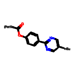 CCCCc1cnc(-c2ccc(OC(=O)C(C)CCC)cc2)nc1